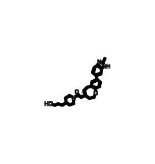 Cc1nc2ccc(-c3ccc4c(c3)C/C=C(/CC(=O)N3CCC(CCCO)CC3)CCO4)cc2[nH]1